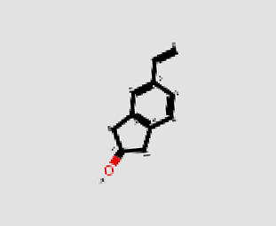 C=Cc1ccc2c(c1)CC(=O)C2